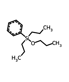 CCCO[Si](CCC)(CCC)c1ccccc1